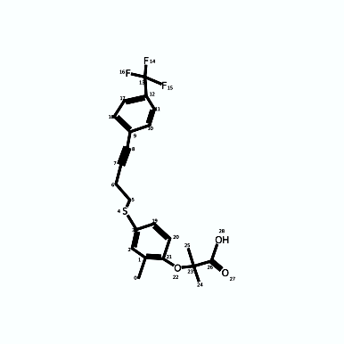 Cc1cc(SCCC#Cc2ccc(C(F)(F)F)cc2)ccc1OC(C)(C)C(=O)O